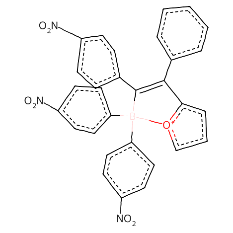 O=[N+]([O-])c1ccc(C2=C(c3ccccc3)c3ccc[o+]3[B-]2(c2ccc([N+](=O)[O-])cc2)c2ccc([N+](=O)[O-])cc2)cc1